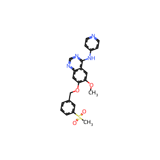 COc1cc2c(Nc3ccncc3)ncnc2cc1OCc1cccc(S(C)(=O)=O)c1